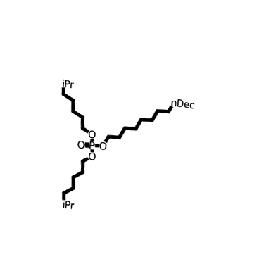 CCCCCCCCCCCCCCCCCCOP(=O)(OCCCCCC(C)C)OCCCCCC(C)C